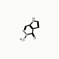 Cn1ncc2[nH]ccc2c1=O